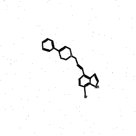 Brc1ccc(C=CCN2CC=C(c3ccccc3)CC2)c2cc[nH]c12